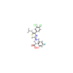 CC(C)CC1=C(c2ccc(Cl)c(Cl)c2)N=C(N(CCC(=O)O)Cc2cccc(F)c2)CS1